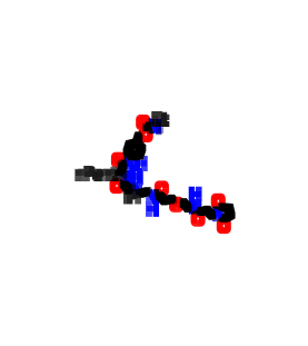 CCCCC[C@H](NC(=O)[C@@H](NCCNC(=O)CCOCCNC(=O)CCN1C(=O)C=CC1=O)C(C)C)C(=O)Nc1ccc(COC(=O)N(C)CC)cc1